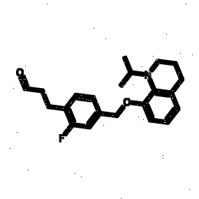 CC(C)N1CCCc2cccc(OCc3ccc(CCC=O)c(F)c3)c21